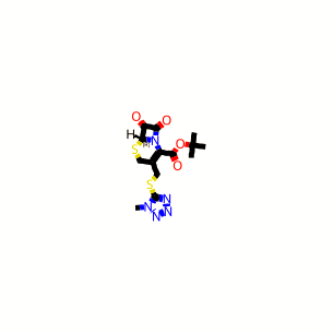 Cn1nnnc1SCC1=C(C(=O)OC(C)(C)C)N2C(=O)C(=O)[C@H]2SC1